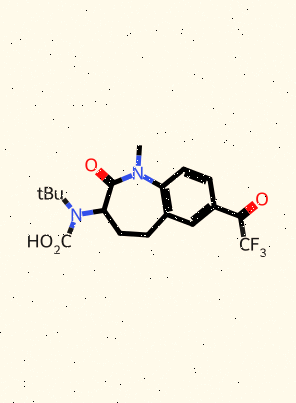 CN1C(=O)C(N(C(=O)O)C(C)(C)C)CCc2cc(C(=O)C(F)(F)F)ccc21